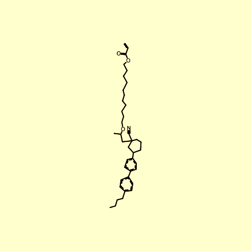 C=CC(=O)OCCCCCCCCCCCOC(C)CC1(C#N)CCCC(c2ccc(-c3ccc(CCCC)cc3)cc2)C1